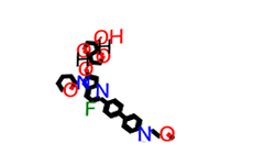 COCCN(C)c1ccc(-c2ccc(-c3nc4cc(O[C@@H]5CO[C@H]6[C@@H]5OC[C@H]6O)n(C5CCCCO5)c4cc3F)cc2)cc1